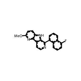 COc1ccc2[nH]c3c(-c4cccc5c(F)cccc45)nccc3c2n1